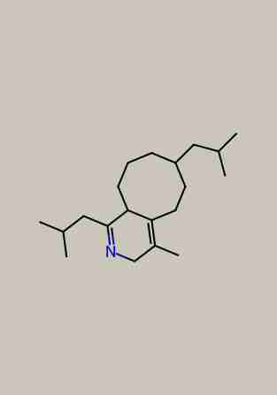 CC1=C2CCC(CC(C)C)CCCC2C(CC(C)C)=NC1